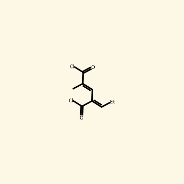 CC/C=C(\C=C(/C)C(=O)Cl)C(=O)Cl